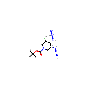 CC(C)(C)OC(=O)N1C[C@@H](F)[C@H](N=[N+]=[N-])[C@H](N=[N+]=[N-])C1